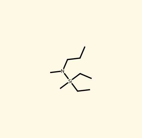 CCCN(C)[Si](C)(CC)CC